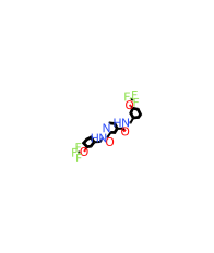 O=C(NCc1cccc(OC(F)(F)F)c1)c1ccnc(C(=O)NCc2cccc(OC(F)(F)F)c2)c1